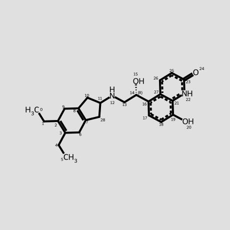 CCC1=C(CC)CC2=C(C1)CC(NC[C@H](O)c1ccc(O)c3[nH]c(=O)ccc13)C2